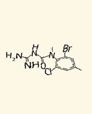 Cc1cc(Cl)c(N(C)C(=O)NC(=N)N)c(Br)c1